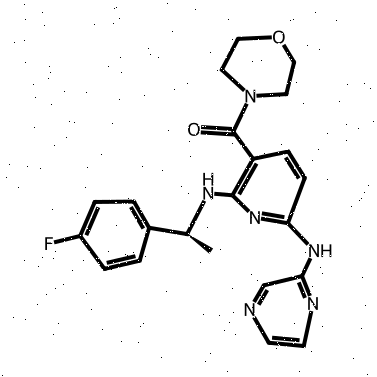 C[C@H](Nc1nc(Nc2cnccn2)ccc1C(=O)N1CCOCC1)c1ccc(F)cc1